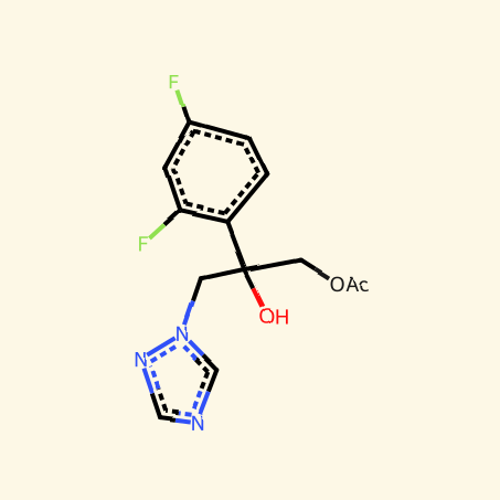 CC(=O)OCC(O)(Cn1cncn1)c1ccc(F)cc1F